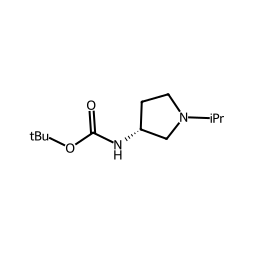 CC(C)N1CC[C@@H](NC(=O)OC(C)(C)C)C1